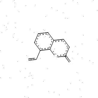 O=Cc1cccc2ccc(=O)[nH]c12